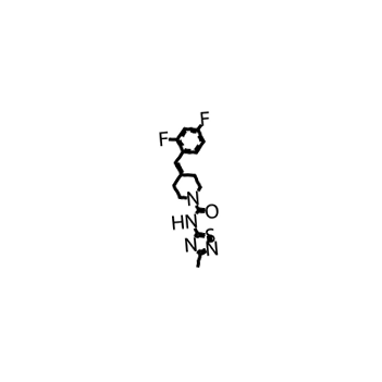 Cc1nsc(NC(=O)N2CCC(=Cc3ccc(F)cc3F)CC2)n1